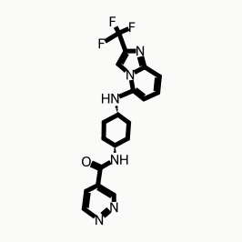 O=C(N[C@H]1CC[C@@H](Nc2cccc3nc(C(F)(F)F)cn23)CC1)c1ccnnc1